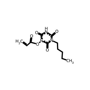 C=CC(=O)On1c(=O)[nH]c(=O)n(CCCCC)c1=O